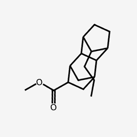 CCCC1C2CCC1C1C3CC(CC3C(=O)OC)C21